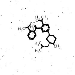 CC(C)C[C@H]1CC(c2ccc(C(C)C)c(C(=O)c3ccccc3C(C)C)c2)CCC1C